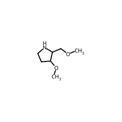 COCC1NCCC1OC